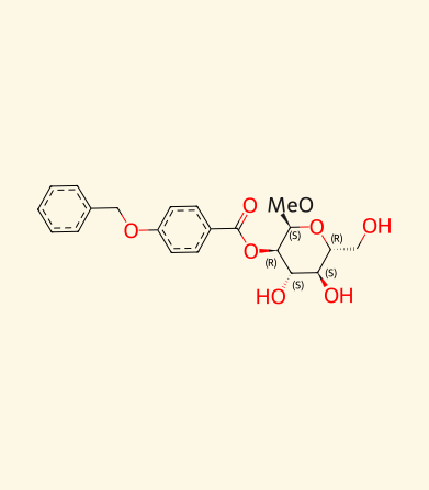 CO[C@H]1O[C@H](CO)[C@@H](O)[C@H](O)[C@H]1OC(=O)c1ccc(OCc2ccccc2)cc1